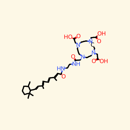 CC(/C=C/C1C(C)CCCC1(C)C)=C\C=C\C(C)=C\C(=O)NCCNC(=O)CN1CCN(CC(=O)O)CCN(CC(=O)O)CCN(CC(=O)O)CC1